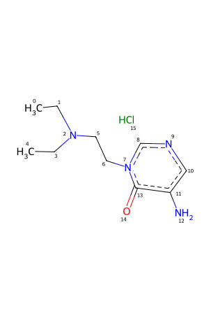 CCN(CC)CCn1cncc(N)c1=O.Cl